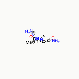 COc1cc(C(=O)N2CCC[C@@H](N)C2)cn2nc(-c3cc4ccc(-c5ccc(C(N)=O)cc5)cc4n3CC3CC3)c(C)c12